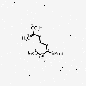 C=C(CCCC(CCCCC)[SiH2]OC)C(=O)O